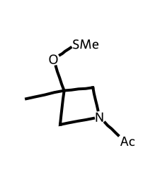 CSOC1(C)CN(C(C)=O)C1